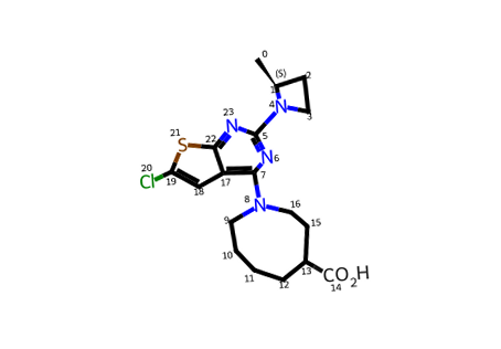 C[C@H]1CCN1c1nc(N2CCCCC(C(=O)O)CC2)c2cc(Cl)sc2n1